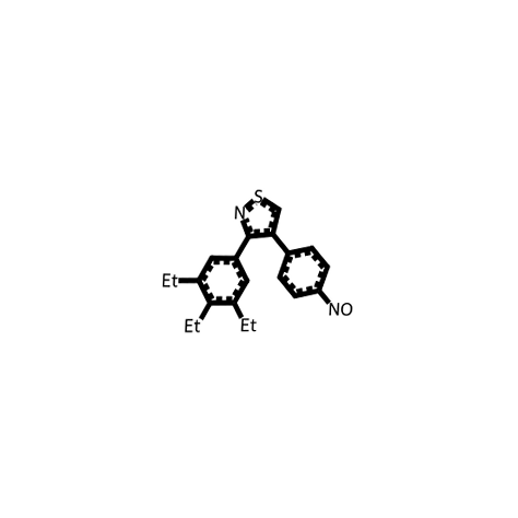 CCc1cc(-c2nscc2-c2ccc(N=O)cc2)cc(CC)c1CC